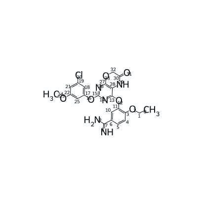 CCOc1ccc(C(=N)N)cc1Oc1nc(Oc2cc(Cl)cc(OC)c2)nc2c1NC(=O)CO2